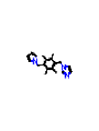 Cc1c(C)c(Cn2ccnc2)c(C)c(C)c1Cn1cccc1